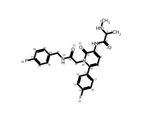 CNC(C)C(=O)Nc1ccc(-c2ccc(F)cc2)n(CC(=O)NCc2ccc(F)cc2)c1=O